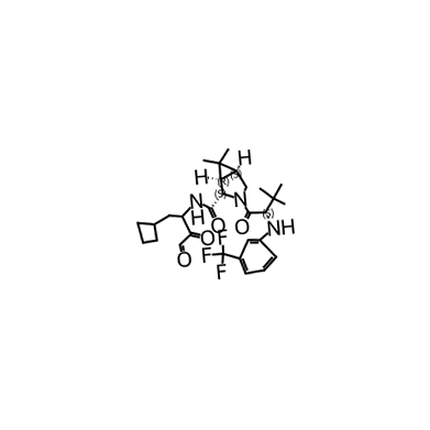 CC(C)(C)[C@H](Nc1cccc(C(F)(F)F)c1)C(=O)N1C[C@H]2[C@@H]([C@H]1C(=O)NC(CC1CCC1)C(=O)C=O)C2(C)C